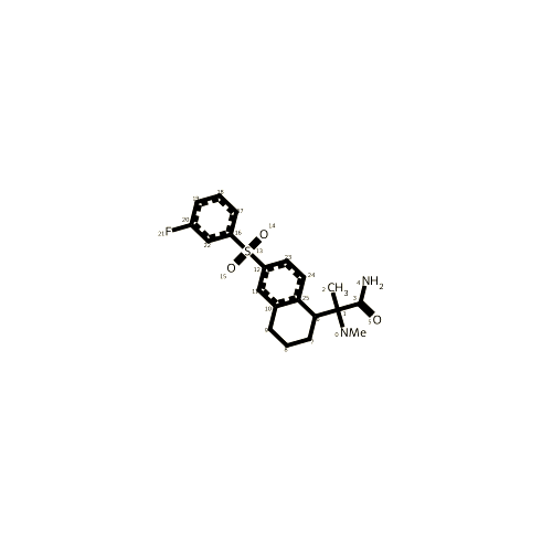 CNC(C)(C(N)=O)C1CCCc2cc(S(=O)(=O)c3cccc(F)c3)ccc21